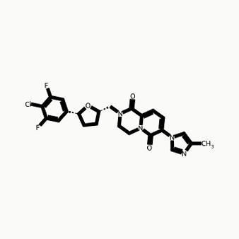 Cc1cn(-c2ccc3n(c2=O)CCN(C[C@@H]2CC[C@H](c4cc(F)c(Cl)c(F)c4)O2)C3=O)cn1